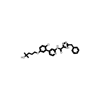 CC(C)(O)CCCOc1ccc(Cl)c(-c2ccnc(NC(=O)c3nnc(Cc4ccccc4)[nH]3)c2)c1